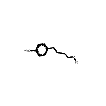 [CH2]COCCCCc1ccc(OC)cc1